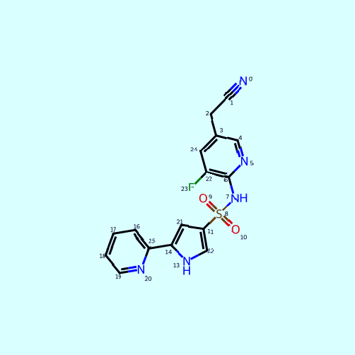 N#CCc1cnc(NS(=O)(=O)c2c[nH]c(-c3ccccn3)c2)c(F)c1